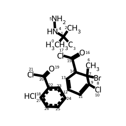 CC(C)(C)NN.CC1(Br)C(Cl)=CC=CC1C(=O)Cl.Cl.O=C(Cl)c1ccccc1